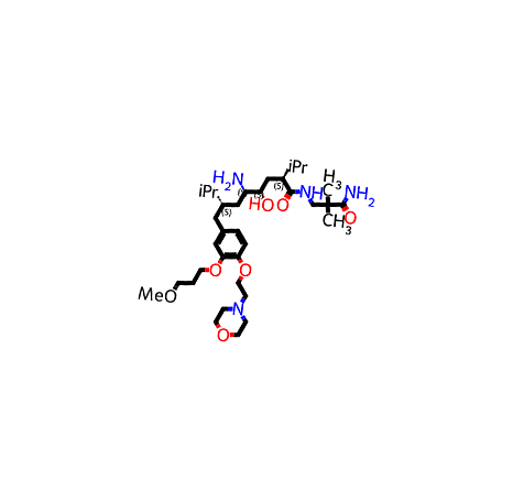 COCCCOc1cc(C[C@@H](C[C@H](N)[C@@H](O)C[C@H](C(=O)NCC(C)(C)C(N)=O)C(C)C)C(C)C)ccc1OCCN1CCOCC1